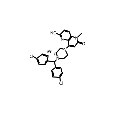 CC(C)[C@@H]1CN(c2cc(=O)n(C)c3ccc(C#N)nc23)CCN1C(c1ccc(Cl)cc1)c1ccc(Cl)cc1